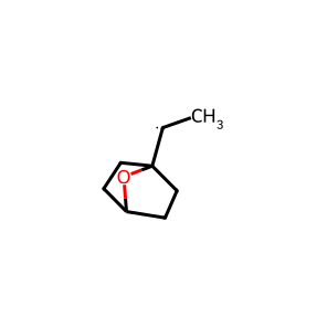 C[CH]C12CCC(CC1)O2